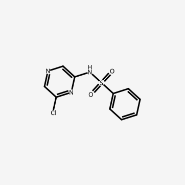 O=S(=O)(Nc1cncc(Cl)n1)c1ccccc1